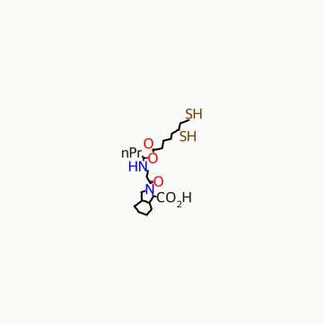 CCCC(NCCC(=O)N1CC2CCCCC2C1C(=O)O)OC(=O)CCCCC(S)CCS